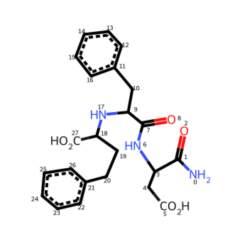 NC(=O)C(CC(=O)O)NC(=O)C(Cc1ccccc1)NC(CCc1ccccc1)C(=O)O